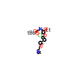 CCOc1cc(O[C@H]2CCc3c(-c4cccc(OCCCN5CCC5(C)C)c4C)cccc32)c(Cl)cc1CN(C)CCC(=O)OC(C)(C)C